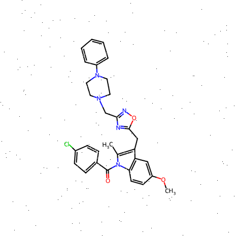 COc1ccc2c(c1)c(Cc1nc(CN3CCN(c4ccccc4)CC3)no1)c(C)n2C(=O)c1ccc(Cl)cc1